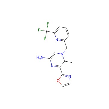 CC1C(c2ncco2)=NC(N)=CN1Cc1cccc(C(F)(F)F)n1